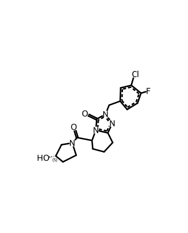 O=C(C1CCCc2nn(Cc3ccc(F)c(Cl)c3)c(=O)n21)N1CC[C@H](O)C1